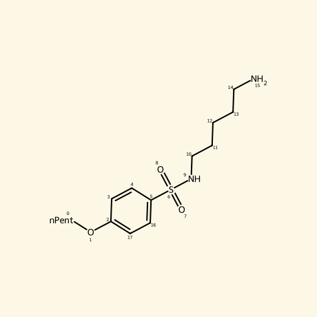 CCCCCOc1ccc(S(=O)(=O)NCCCCCN)cc1